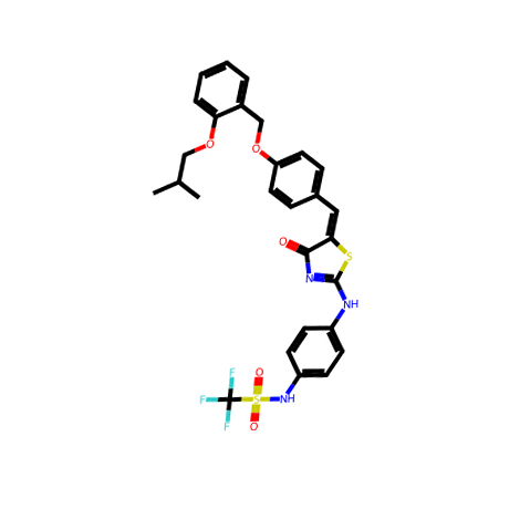 CC(C)COc1ccccc1COc1ccc(C=C2SC(Nc3ccc(NS(=O)(=O)C(F)(F)F)cc3)=NC2=O)cc1